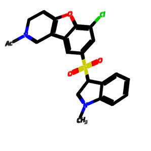 CC(=O)N1CCc2oc3c(Cl)cc(S(=O)(=O)C4CN(C)c5ccccc54)cc3c2C1